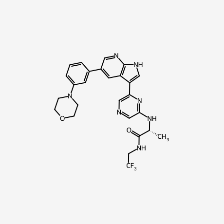 C[C@@H](Nc1cncc(-c2c[nH]c3ncc(-c4cccc(N5CCOCC5)c4)cc23)n1)C(=O)NCC(F)(F)F